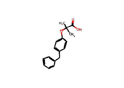 CC(C)(Oc1ccc(Cc2ccccc2)cc1)C(=O)O